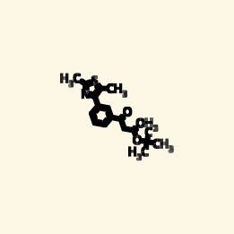 Cc1nc(-c2cccc(C(=O)CC(=O)OC(C)(C)C)c2)c(C)s1